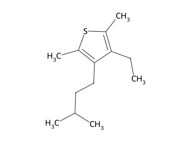 CCc1c(C)sc(C)c1CCC(C)C